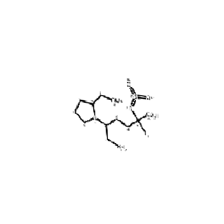 COCC1CCCN1C(CN)CCC(I)(N=S(=O)=O)C(=O)O